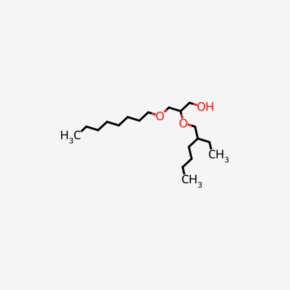 CCCCCCCCOCC(CO)OCC(CC)CCCC